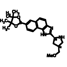 COC[C@@H]1CN[C@H](c2nc3ccc4cc(B5OC(C)(C)C(C)(C)O5)ccc4c3[nH]2)C1